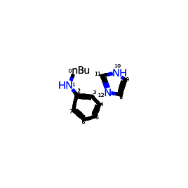 CCCCNc1ccccc1.c1c[nH]cn1